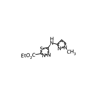 CCOC(=O)c1nnc(Nc2ccn(C)n2)s1